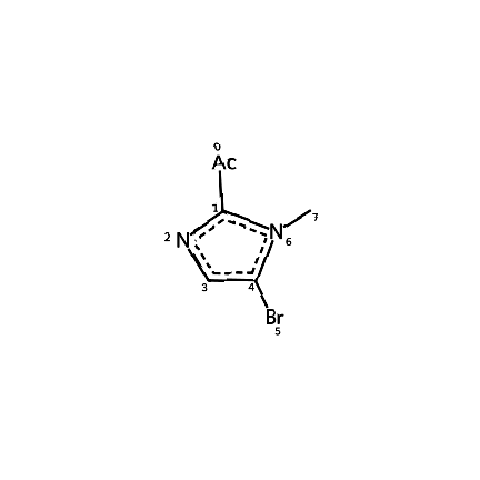 CC(=O)c1ncc(Br)n1C